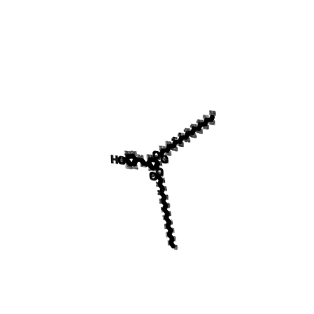 CCCCCCCCCCCCCCCCCC(=O)Oc1cc(C=Cc2ccc(O)cc2)cc(OC(=O)CCCCCCCCCCCCCCCCC)c1